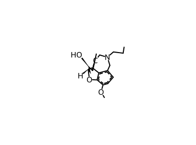 CCCN1CC[C@]23c4c(ccc(OC)c4O[C@H]2C[C@@H](O)C3C)C1